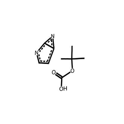 CC(C)(C)OC(=O)O.c1cc2nc-2n1